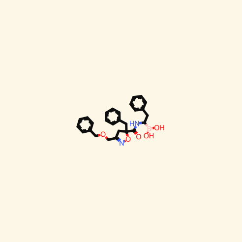 O=C(NC(Cc1ccccc1)B(O)O)C1(Cc2ccccc2)CC(COCc2ccccc2)=NO1